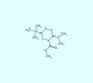 COC(=O)C1CN(C(C)(C)C)CCN1C(C)C